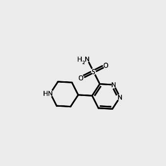 NS(=O)(=O)c1nnccc1C1CCNCC1